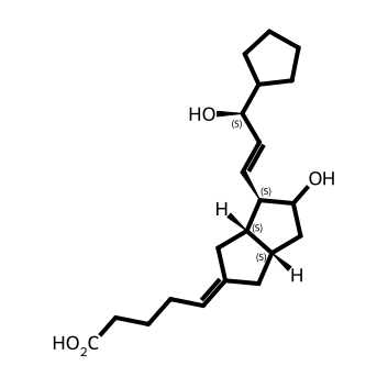 O=C(O)CCCC=C1C[C@H]2CC(O)[C@H](C=C[C@@H](O)C3CCCC3)[C@H]2C1